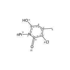 CCCn1c(O)cc(C)c(Cl)c1=O